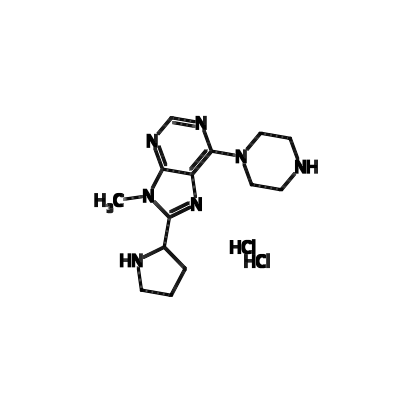 Cl.Cl.Cn1c(C2CCCN2)nc2c(N3CCNCC3)ncnc21